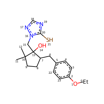 CCOc1ccc(CC2CCC(C)(C)C2(O)Cn2ncnc2S)cc1